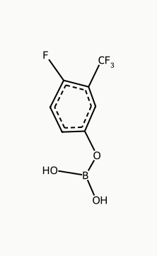 OB(O)Oc1ccc(F)c(C(F)(F)F)c1